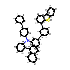 c1ccc(-c2ccc(N(c3cccc(-c4cccc(-c5cccc6c5sc5ccccc56)c4)c3)c3ccccc3-c3cccc4ccccc34)cc2)cc1